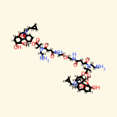 CC(C)(C(=O)OC1=CC[C@@]2(O)[C@H]3Cc4ccc(O)c5c4[C@@]2(CCN3CC2CC2)[C@H]1O5)N(CCN)C(=O)CCC(=O)NCCOCCNC(=O)CCC(=O)N(CCN)C(C)(C)C(=O)OC1=CC[C@@]2(O)[C@H]3Cc4ccc(O)c5c4[C@@]2(CCN3CC2CC2)[C@H]1O5